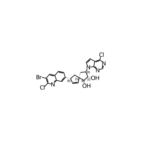 O[C@H]1[C@H](n2ccc3c(Cl)ncnc32)C[C@@]2(C=C[C@H](c3ccc4cc(Br)c(Cl)nc4c3)C2)[C@H]1O